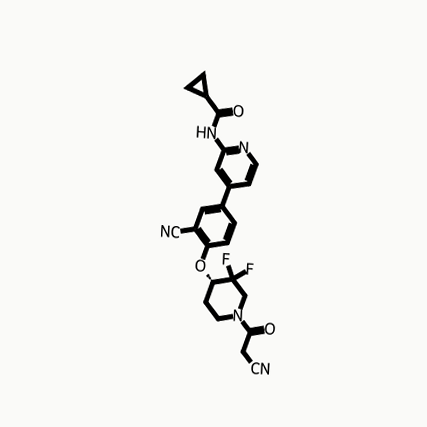 N#CCC(=O)N1CC[C@H](Oc2ccc(-c3ccnc(NC(=O)C4CC4)c3)cc2C#N)C(F)(F)C1